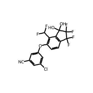 N#Cc1cc(Cl)cc(Oc2ccc3c(c2C(F)F)C(O)(O)C(F)(F)C3(F)F)c1